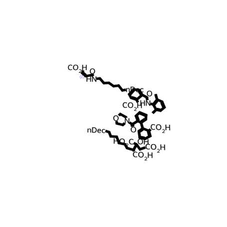 CCCCCCCCCCCCCCCCC(C(=O)O)C(O)(CC(=O)O)C(=O)O.CCCCCCCCCCCCCCCCNC(=O)/C=C\C(=O)O.Cc1cccc(C)c1NC(=O)c1ccccc1C(=O)O.O=C(O)c1ccccc1-c1ccccc1C(=O)N1CCOCC1